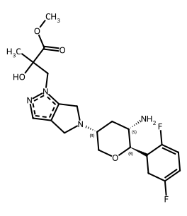 COC(=O)C(C)(O)Cn1ncc2c1CN([C@H]1CO[C@H](C3CC(F)=CC=C3F)[C@@H](N)C1)C2